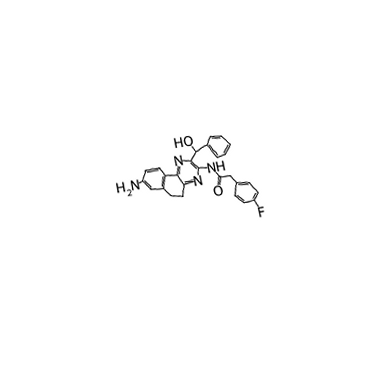 Nc1ccc2c(c1)CCc1nc(NC(=O)Cc3ccc(F)cc3)c(C(O)c3ccccc3)nc1-2